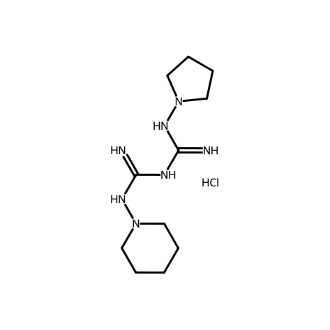 Cl.N=C(NC(=N)NN1CCCC1)NN1CCCCC1